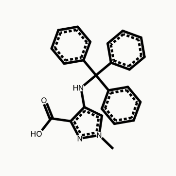 Cn1cc(NC(c2ccccc2)(c2ccccc2)c2ccccc2)c(C(=O)O)n1